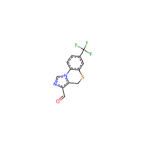 O=Cc1ncn2c1CSc1cc(C(F)(F)F)ccc1-2